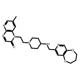 Cc1cnc2ncc(=O)n(CCN3CCC(NCc4cc5c(cn4)OCCCO5)CC3)c2c1